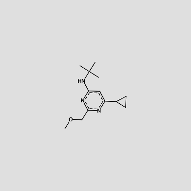 COCc1nc(NC(C)(C)C)cc(C2CC2)n1